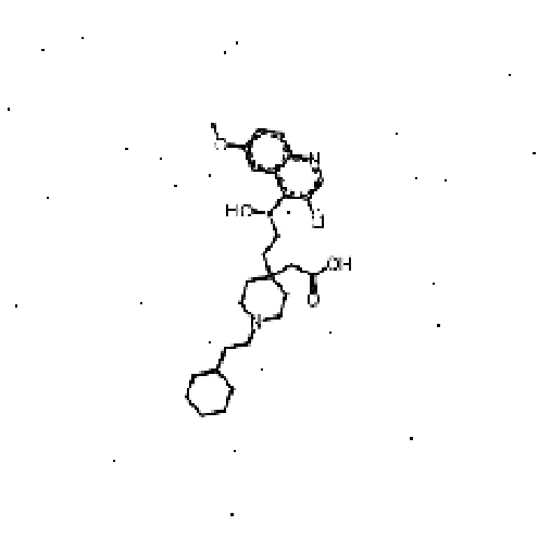 COc1ccc2ncc(Cl)c([C@H](O)CCC3(CC(=O)O)CCN(CCC4CCCCC4)CC3)c2c1